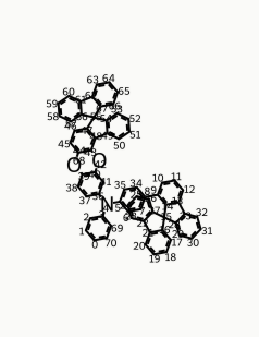 c1ccc(N(c2ccc(-c3cccc4c3C3(c5ccccc5-c5ccccc53)c3ccccc3-4)cc2)c2ccc3c(c2)Oc2c(ccc4c2-c2ccccc2C42c4ccccc4-c4ccccc42)O3)cc1